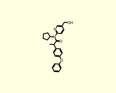 CC(C(=O)N(c1ccc(CO)cn1)C1CCCC1)c1ccc(Oc2ccccc2)cc1